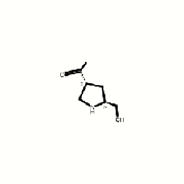 CC(=O)[C@H]1CN[C@H](CO)C1